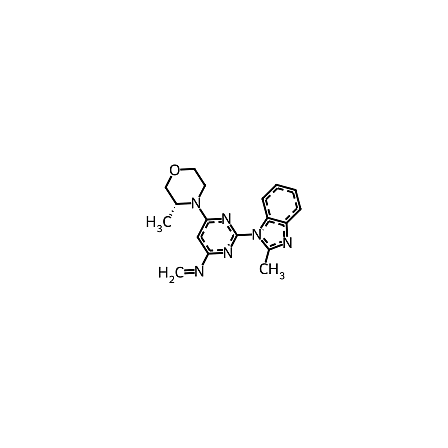 C=Nc1cc(N2CCOC[C@H]2C)nc(-n2c(C)nc3ccccc32)n1